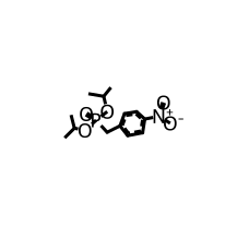 CC(C)OP(=O)(Cc1ccc([N+](=O)[O-])cc1)OC(C)C